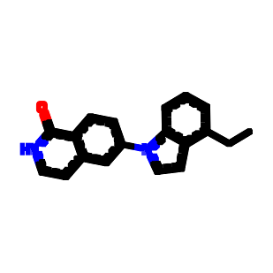 CCc1cccc2c1ccn2-c1ccc2c(=O)[nH]ccc2c1